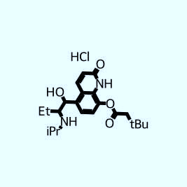 CCC(NC(C)C)C(O)c1ccc(OC(=O)CC(C)(C)C)c2[nH]c(=O)ccc12.Cl